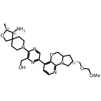 COCOC[C@H]1CC2COc3c(-c4cnc(N5CCC6(CC5)CO[C@@H](C)[C@H]6N)c(CO)n4)ccnc3N2C1